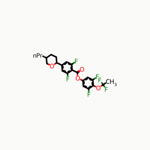 CCCC1CCC(c2cc(F)c(C(=O)Oc3cc(F)c(OC(C)(F)F)c(F)c3)c(F)c2)OC1